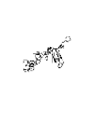 CCOP(=O)(COC[C@H]1O[C@@H](n2ncc3c(N(C)Cc4ccccc4)nc(Cl)nc32)[C@@H]2OC(C)(C)O[C@@H]21)OCC